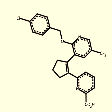 O=C(O)c1cccc(C2=C(c3cc(C(F)(F)F)cnc3OCc3ccc(Cl)cc3)CCC2)n1